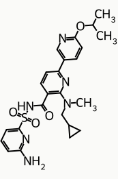 CC(C)Oc1ccc(-c2ccc(C(=O)NS(=O)(=O)c3cccc(N)n3)c(N(C)CC3CC3)n2)cn1